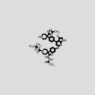 CC(=O)NNC(=O)C1(c2ccc(Br)cc2)CCN(C(=O)OC(C)(C)C)CC1.Cc1nnc(C2(c3ccc(-c4ccnc5[nH]cc(F)c45)cc3)CCNCC2)o1